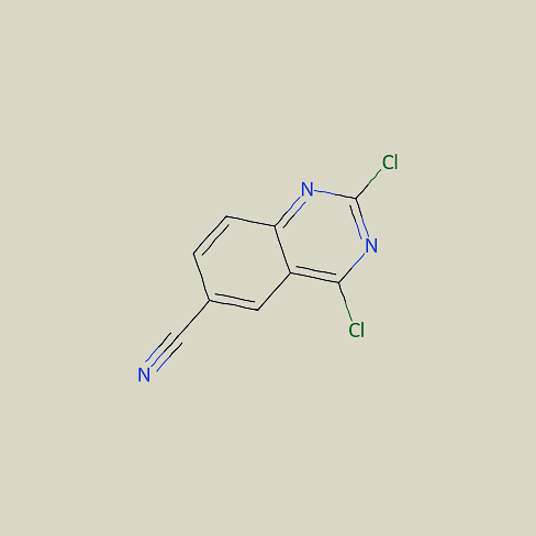 N#Cc1ccc2nc(Cl)nc(Cl)c2c1